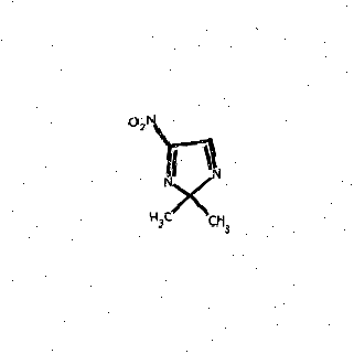 CC1(C)N=CC([N+](=O)[O-])=N1